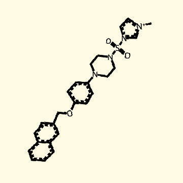 C[n+]1ccn(S(=O)(=O)N2CCN(c3ccc(OCc4ccc5ccccc5c4)cc3)CC2)c1